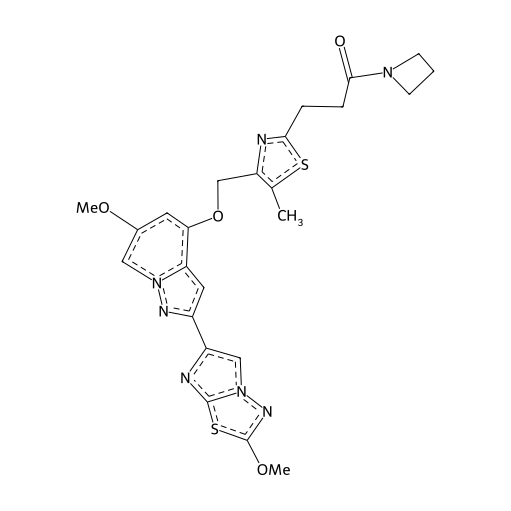 COc1cc(OCc2nc(CCC(=O)N3CCC3)sc2C)c2cc(-c3cn4nc(OC)sc4n3)nn2c1